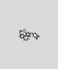 Cc1cc(OC2CCS(=O)(=O)CC2)cc2c1-c1cc(CO)ccc1CCC2